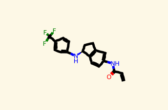 C=CC(=O)Nc1ccc2c(c1)CC[C@@H]2Nc1ccc(C(F)(F)F)cc1